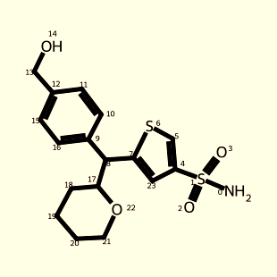 NS(=O)(=O)c1csc(C(c2ccc(CO)cc2)C2CCCCO2)c1